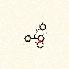 O=C(NCC(Cc1ccccc1)(c1cccc(OC(F)(F)F)c1)c1cccc(OC(F)(F)F)c1)c1cccc(Cl)c1